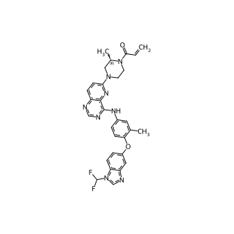 C=CC(=O)N1CCN(c2ccc3ncnc(Nc4ccc(Oc5ccc6c(c5)ncn6C(F)F)c(C)c4)c3n2)C[C@H]1C